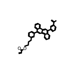 C=CC(=O)OCCCCc1cccc(-c2cc3c4ccccc4c(-c4cccc(C(=C)C)c4)cc3c3ccccc23)c1